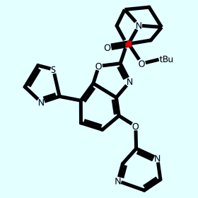 CC(C)(C)OC(=O)N1C2CC1CN(c1nc3c(Oc4cnccn4)ccc(-c4nccs4)c3o1)C2